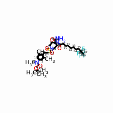 Cc1cc(N(C)C(=O)OC(C)(C)C)cc(C)c1CCS(=O)(=O)N1CCC(NC(=O)CCCCCCCC(F)(F)C(F)(F)F)(C(N)=O)CC1